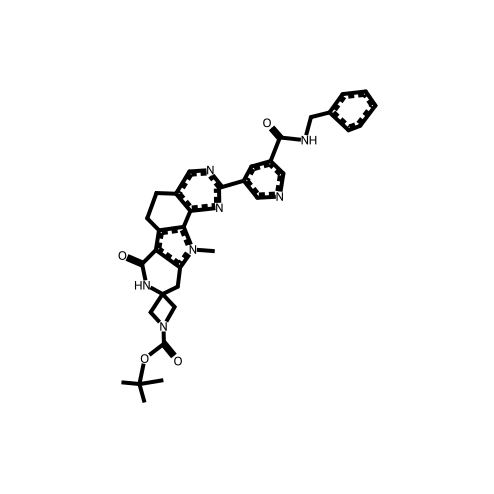 Cn1c2c(c3c1-c1nc(-c4cncc(C(=O)NCc5ccccc5)c4)ncc1CC3)C(=O)NC1(C2)CN(C(=O)OC(C)(C)C)C1